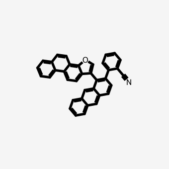 N#Cc1ccccc1-c1ccc2cc3ccccc3cc2c1-c1coc2c1ccc1c3ccccc3ccc12